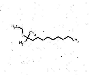 [CH2]CSC(C)(C)CCCCCCCCC